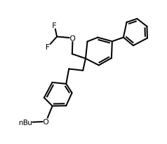 CCCCOc1ccc(CCC2(COC(F)F)C=CC(c3ccccc3)=CC2)cc1